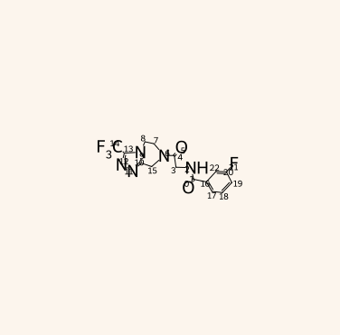 O=C(NCC(=O)N1CCn2c(nnc2C(F)(F)F)C1)c1cccc(F)c1